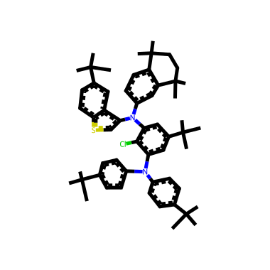 CC(C)(C)c1ccc(N(c2ccc(C(C)(C)C)cc2)c2cc(C(C)(C)C)cc(N(c3ccc4c(c3)C(C)(C)CCC4(C)C)c3csc4ccc(C(C)(C)C)cc34)c2Cl)cc1